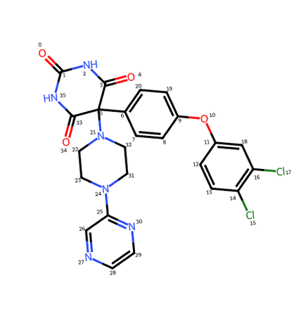 O=C1NC(=O)C(c2ccc(Oc3ccc(Cl)c(Cl)c3)cc2)(N2CCN(c3cnccn3)CC2)C(=O)N1